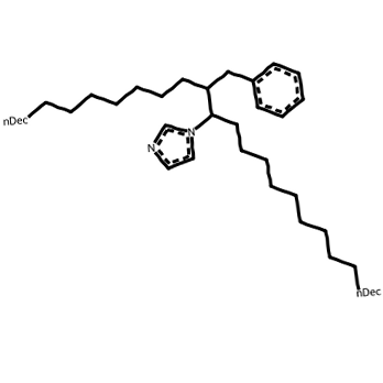 CCCCCCCCCCCCCCCCCCCC(C(CCCCCCCCCCCCCCCCC)Cc1ccccc1)n1ccnc1